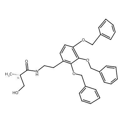 C[C@@H](CO)C(=O)NCCc1ccc(OCc2ccccc2)c(OCc2ccccc2)c1OCc1ccccc1